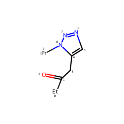 CCC(=O)Cc1cnnn1C(C)C